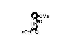 CCCCCCCCOC(=O)CNC(=O)c1ncccc1OC